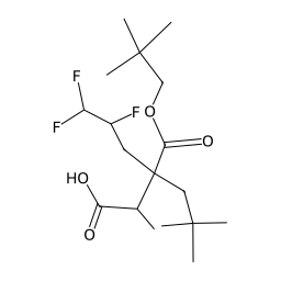 CC(C(=O)O)C(CC(F)C(F)F)(CC(C)(C)C)C(=O)OCC(C)(C)C